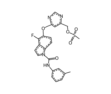 Cc1cccc(NC(=O)n2ccc3c(F)c(Oc4cc(COS(C)(=O)=O)ncn4)ccc32)c1